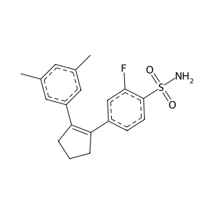 Cc1cc(C)cc(C2=C(c3ccc(S(N)(=O)=O)c(F)c3)CCC2)c1